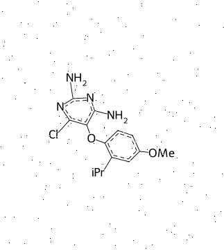 COc1ccc(Oc2c(N)nc(N)nc2Cl)c(C(C)C)c1